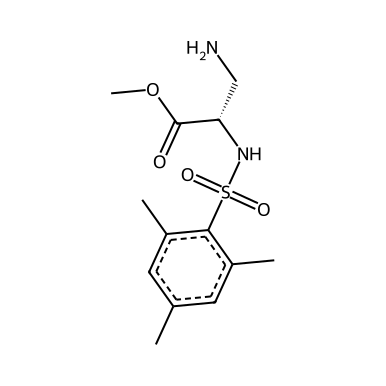 COC(=O)[C@H](CN)NS(=O)(=O)c1c(C)cc(C)cc1C